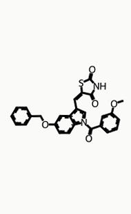 COc1cccc(C(=O)n2cc(C=C3SC(=O)NC3=O)c3cc(OCc4ccccc4)ccc32)c1